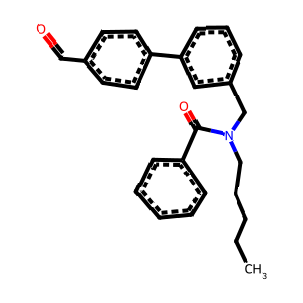 CCCCCN(Cc1cccc(-c2ccc(C=O)cc2)c1)C(=O)c1ccccc1